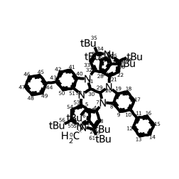 C=N/C(=C\C(=C/C(C)(C)C)N1c2cc(-c3ccccc3)ccc2N(c2cc(C(C)(C)C)nc(C(C)(C)C)c2)C1C1N(c2cc(C(C)(C)C)nc(C(C)(C)C)c2)c2ccc(-c3ccccc3)cc2N1c1cc(C(C)(C)C)nc(C(C)(C)C)c1)C(C)(C)C